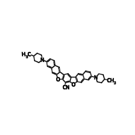 CC1CCN(c2ccc3cc4c(cc3c2)oc2c(C#N)c3oc5cc6cc(N7CCC(C)CC7)ccc6cc5c3cc24)CC1